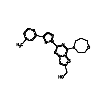 Cc1cccc(-c2ccn(-c3nc(N4CCCOCC4)c4sc(CO)cc4n3)n2)c1